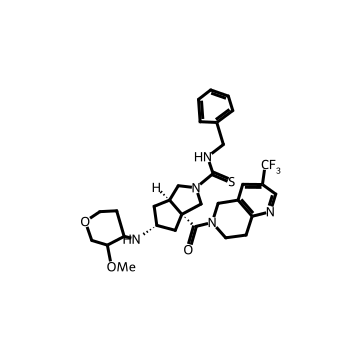 COC1COCCC1N[C@@H]1C[C@H]2CN(C(=S)NCc3ccccc3)C[C@@]2(C(=O)N2CCc3ncc(C(F)(F)F)cc3C2)C1